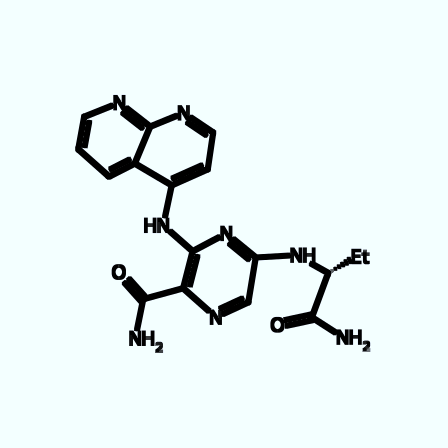 CC[C@@H](Nc1cnc(C(N)=O)c(Nc2ccnc3ncccc23)n1)C(N)=O